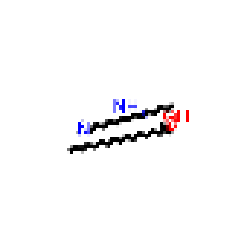 CCCCCCCCCCCCCCCC(C)(C)OO.CCCCCCCCCCCCCCN(C)C.N